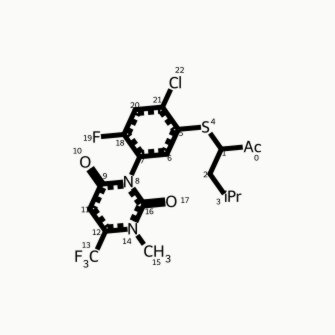 CC(=O)C(CC(C)C)Sc1cc(-n2c(=O)cc(C(F)(F)F)n(C)c2=O)c(F)cc1Cl